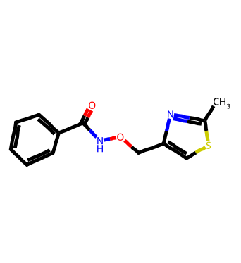 Cc1nc(CONC(=O)c2ccccc2)cs1